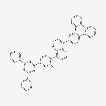 CC1C=C(c2nc(-c3ccccc3)nc(-c3ccccc3)n2)C=CC1c1cccc2c(-c3ccc4c5ccccc5c5ccccc5c4c3)cccc12